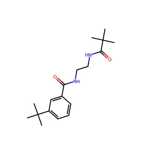 CC(C)(C)C(=O)NCCNC(=O)c1cccc(C(C)(C)C)c1